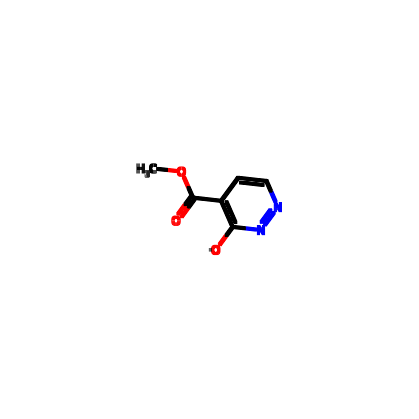 COC(=O)c1ccnnc1[O]